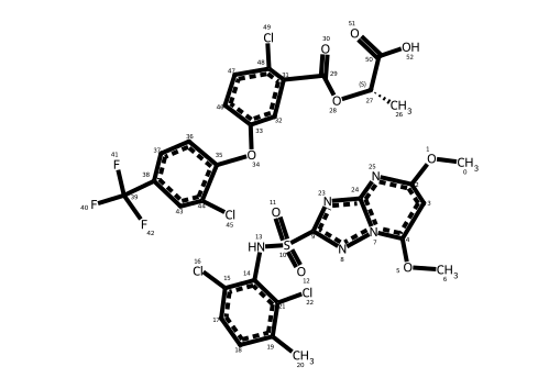 COc1cc(OC)n2nc(S(=O)(=O)Nc3c(Cl)ccc(C)c3Cl)nc2n1.C[C@H](OC(=O)c1cc(Oc2ccc(C(F)(F)F)cc2Cl)ccc1Cl)C(=O)O